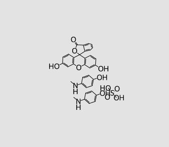 CNc1ccc(O)cc1.CNc1ccc(O)cc1.O=C1OC2(c3ccc(O)cc3Oc3cc(O)ccc32)c2ccccc21.O=S(=O)(O)O